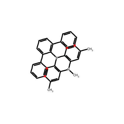 Cc1ccc2c(c1)N(C)c1cc(C)ccc1B2c1c(-c2ccccc2)cccc1-c1ccccc1